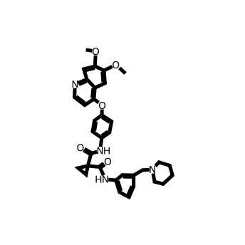 COc1cc2nccc(Oc3ccc(NC(=O)C4(C(=O)Nc5cccc(CN6CCCCC6)c5)CC4)cc3)c2cc1OC